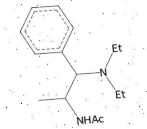 CCN(CC)C(c1ccccc1)C(C)NC(C)=O